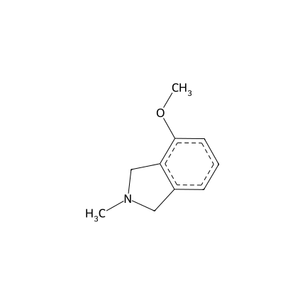 COc1cccc2c1CN(C)C2